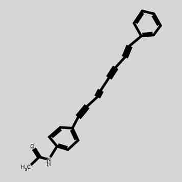 CC(=O)Nc1ccc(C#CC#CC#CC#Cc2ccccc2)cc1